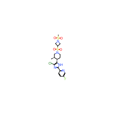 C[C@H]1CN(S(=O)(=O)C2CN(S(C)(=O)=O)C2)CC[C@H]1c1[nH]c(-c2ccc(F)cn2)nc1Cl